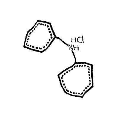 Cl.c1ccc(Nc2ccccc2)cc1